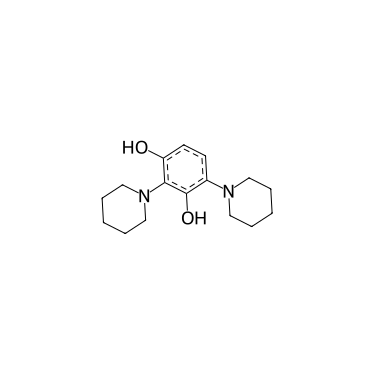 Oc1ccc(N2CCCCC2)c(O)c1N1CCCCC1